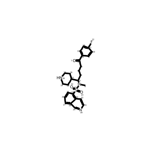 CN(C(CCCC(=O)c1ccc(F)cc1)C1CCNCC1)S(=O)(=O)c1cccc2cnccc12